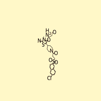 C/N=c1\sc(C2CCN(C(=O)CCS(=O)(=O)c3ccc4cc(Cl)ccc4c3)CC2)c(OC(N)CC=O)n1C